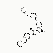 O=C(Nc1ccnc(CN2CCCCC2)c1)c1n[nH]c2ccc(-c3cncc(CN4CCCC4)c3)cc12